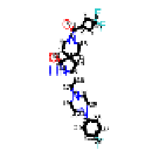 O=C(C1CC(F)(F)C1)N1CCC2(CC1)C[C@H](CCN1CCN(c3ccc(F)cc3)CC1)NC2=O